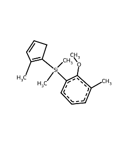 COc1c(C)cccc1[Si](C)(C)C1=C(C)C=CC1